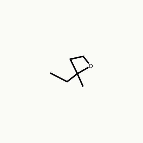 CCC1(C)CCO1